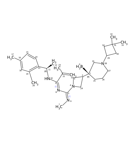 B[C@]1(C2CN(C(=N/C)/N=C(/N[C@H](C)c3ccc(C)cc3C)C(=C)C)C2)CCCN(C2CC(C)(C)C2)C1